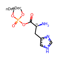 CCCCCCCCCCOP(=O)(OCCCCCCCCCC)OC(=O)[C@@H](N)Cc1c[nH]cn1